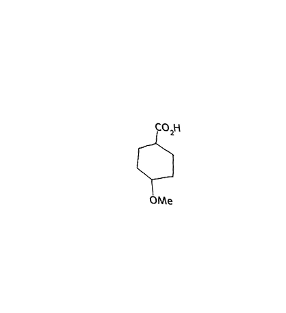 [CH2-][OH+]C1CCC(C(=O)O)CC1